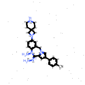 N#Cc1ccc(-c2cc3n(c2)Cc2cc(N4CC5(CCNCC5)C4)ccc2N(N)/C3=N\N)cc1